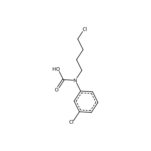 O=C(O)N(CCCCCl)c1cccc(Cl)c1